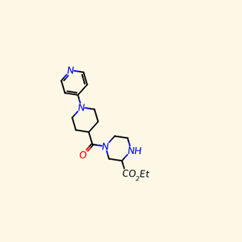 CCOC(=O)C1CN(C(=O)C2CCN(c3ccncc3)CC2)CCN1